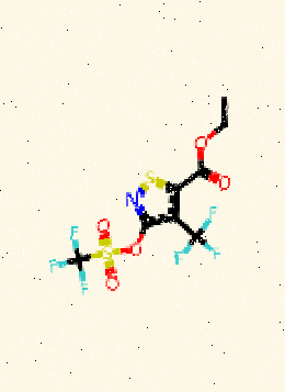 CCOC(=O)c1snc(OS(=O)(=O)C(F)(F)F)c1C(F)(F)F